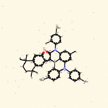 Cc1cc2c3c(c1)N(c1ccc(C(C)(C)C)cc1C)c1oc4cc5c(cc4c1B3c1cc(C(C)(C)C)ccc1N2c1ccc(C(C)(C)C)cc1)C(C)(C)CCC5(C)C